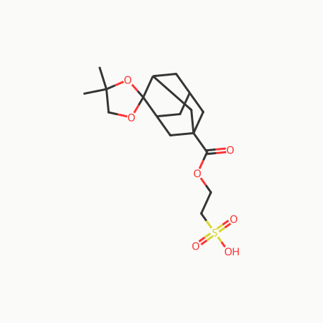 CC1(C)COC2(O1)C1CC3CC2CC(C(=O)OCCS(=O)(=O)O)(C3)C1